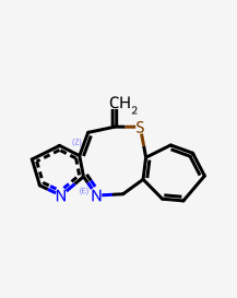 C=C1/C=c2/cccn/c2=N/CC2=C(C=C=CC=C2)S1